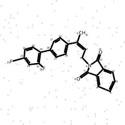 CC(=CCN1C(=O)c2ccccc2C1=O)c1ccc(-c2ccc(F)cc2F)cc1